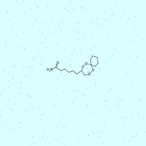 NC(=O)CCCCCC1COOC2(CCCCC2)OO1